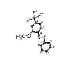 COc1cc(C(F)(F)F)ccc1SCc1ccccc1